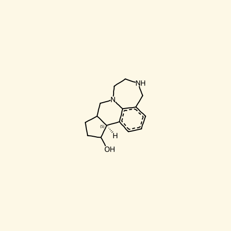 OC1CCC2CN3CCNCc4cccc(c43)[C@@H]12